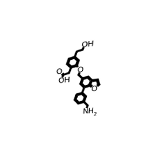 NCc1cccc(-c2cc(COc3cc(CCO)ccc3CC(=O)O)cc3ccoc23)c1